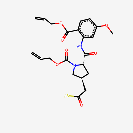 C=CCOC(=O)c1ccc(OC)cc1NC(=O)[C@@H]1C[C@@H](CC(=O)S)CN1C(=O)OCC=C